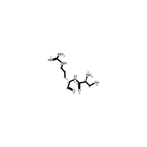 N=C(N)NCCC[C@@H]([C]=O)NC(=O)[C@@H](N)CS